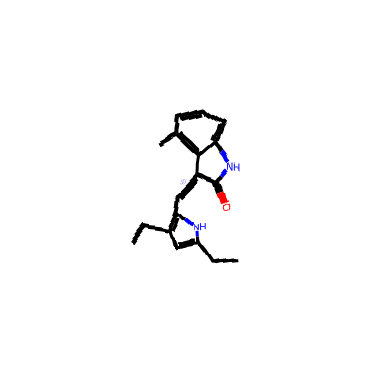 CCc1cc(CC)c(/C=C2\C(=O)Nc3cccc(C)c32)[nH]1